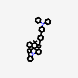 CC1(C)c2ccccc2C2(c3ccccc3-n3c4ccccc4c4cccc2c43)c2cccc(-c3ccc(-c4ccc(N(c5ccccc5)c5ccccc5)cc4)cc3)c21